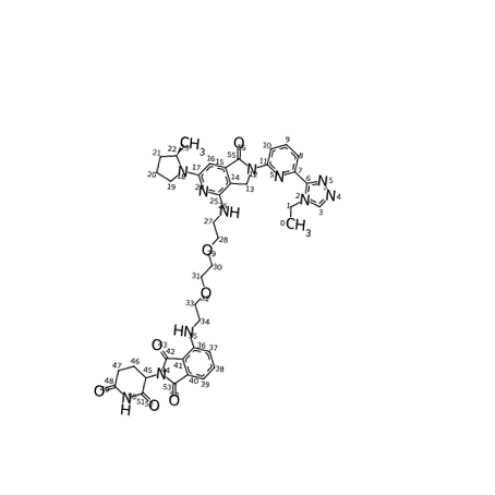 CCn1cnnc1-c1cccc(N2Cc3c(cc(N4CCC[C@H]4C)nc3NCCOCCOCCNc3cccc4c3C(=O)N(C3CCC(=O)NC3=O)C4=O)C2=O)n1